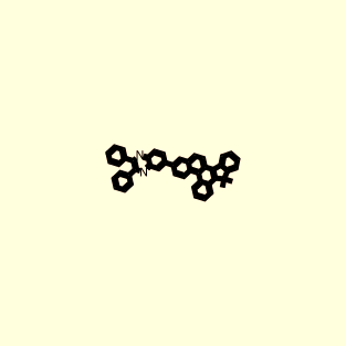 CC1(C)c2ccccc2-c2c1c1ccccc1c1c2ccc2cc(-c3ccc4nc(-c5ccccc5)c(-c5ccccc5)nc4c3)ccc21